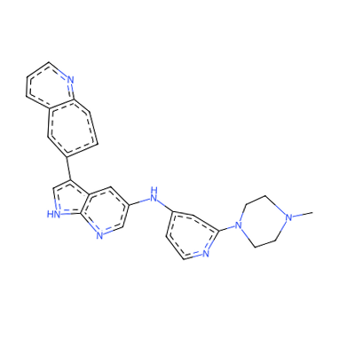 CN1CCN(c2cc(Nc3cnc4[nH]cc(-c5ccc6ncccc6c5)c4c3)ccn2)CC1